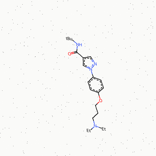 CCN(CC)CCCOc1ccc(-n2cc(C(=O)NC(C)(C)C)cn2)cc1